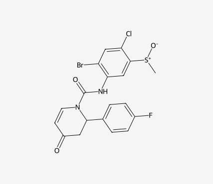 C[S+]([O-])c1cc(NC(=O)N2C=CC(=O)CC2c2ccc(F)cc2)c(Br)cc1Cl